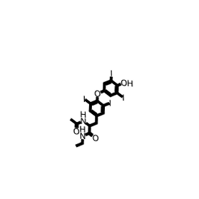 CCNC(=O)C(Cc1cc(I)c(Oc2cc(I)c(O)c(I)c2)c(I)c1)NC(C)=O